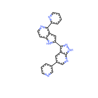 c1ccc(-c2nccc3[nH]c(-c4n[nH]c5ncc(-c6cccnc6)cc45)cc23)nc1